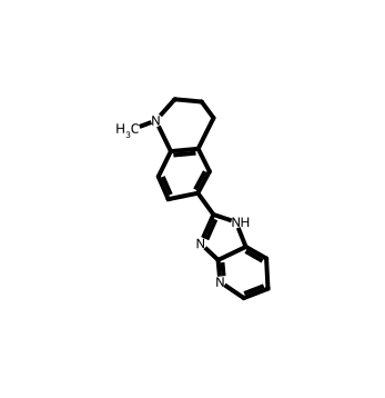 CN1CCCc2cc(-c3nc4ncccc4[nH]3)ccc21